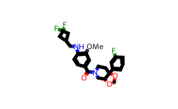 COc1cc(C(=O)N2CCC3(c4cccc(F)c4)OCOC3C2)ccc1NCC1CC(F)(F)C1